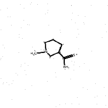 CN1CCCC(C(N)=S)C1